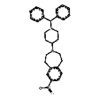 O=[N+]([O-])c1ccc2c(c1)CCN(C1CCN(C(c3ccccc3)c3ccccc3)CC1)CC2